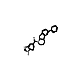 O=C(c1ccc2[nH]cnc2c1)N1CCCC2c3cc(-c4ccccc4)ccc3CC21